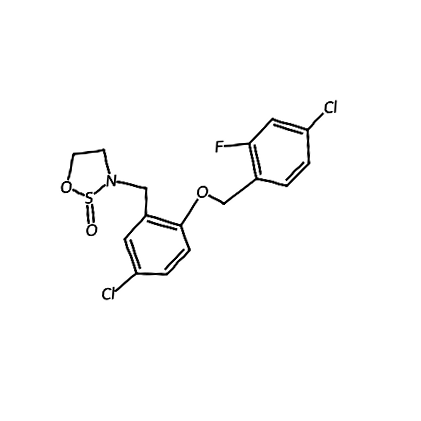 O=S1OCCN1Cc1cc(Cl)ccc1OCc1ccc(Cl)cc1F